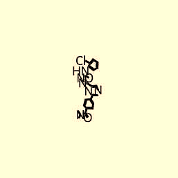 CN(C)C(=O)c1ccc(-c2cncc(-c3nnc(Nc4ccccc4Cl)o3)n2)cc1